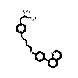 CO[C@@H](Cc1ccc(OCCCOc2ccc(-c3cccc4cccnc34)cc2)cc1)C(=O)O